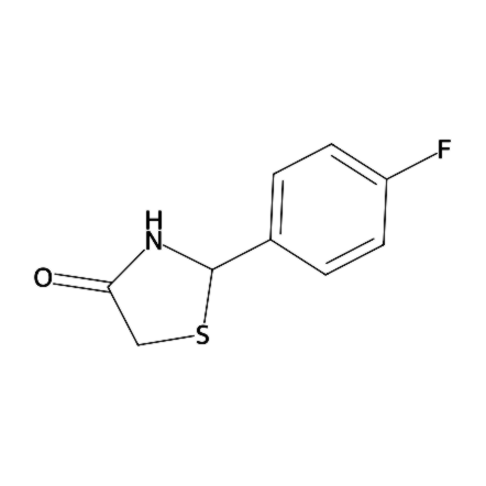 O=C1CSC(c2ccc(F)cc2)N1